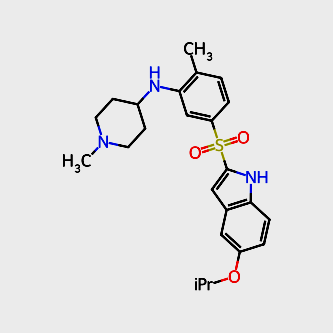 Cc1ccc(S(=O)(=O)c2cc3cc(OC(C)C)ccc3[nH]2)cc1NC1CCN(C)CC1